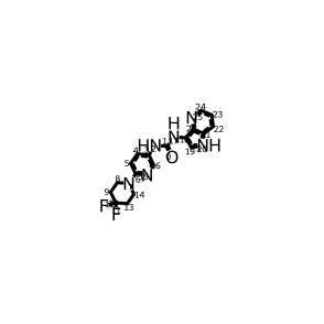 O=C(Nc1ccc(N2CCC(F)(F)CC2)nc1)Nc1c[nH]c2cccnc12